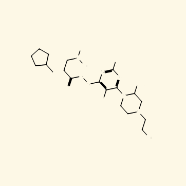 CC1CN(CCO)CCN1c1nc(Cl)nc(NNC(=O)[C@H](CC2CCCC2)CN(O)C=O)c1F